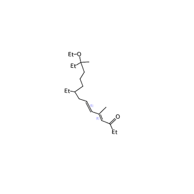 CCOC(C)(CC)CCCC(CC)C/C=C/C(C)=C/C(=O)CC